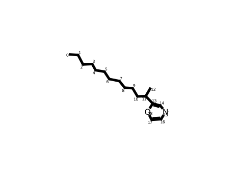 CCCCCCCCCCCC(C)C1=C[N]C=CO1